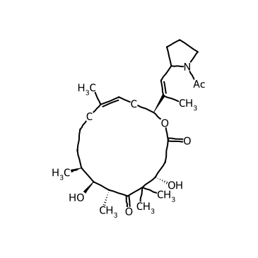 CC(=O)N1CCCC1/C=C(\C)[C@@H]1C/C=C(/C)CCC[C@H](C)[C@H](O)[C@@H](C)C(=O)C(C)(C)[C@@H](O)CC(=O)O1